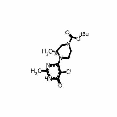 Cc1nc(N2CCN(C(=O)OC(C)(C)C)C[C@@H]2C)c(Cl)c(=O)[nH]1